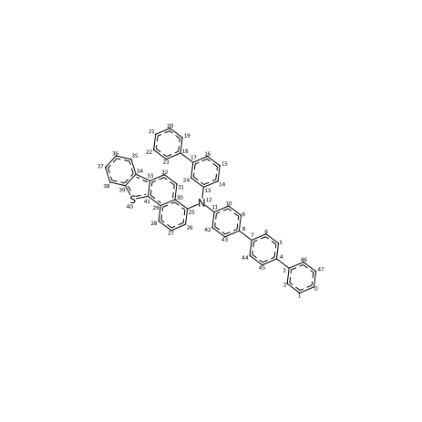 c1ccc(-c2ccc(-c3ccc(N(c4cccc(-c5ccccc5)c4)c4cccc5c4ccc4c6ccccc6sc54)cc3)cc2)cc1